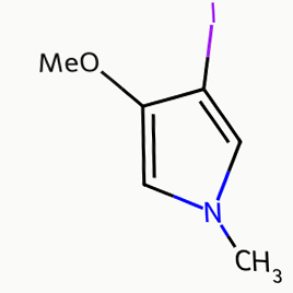 COc1cn(C)cc1I